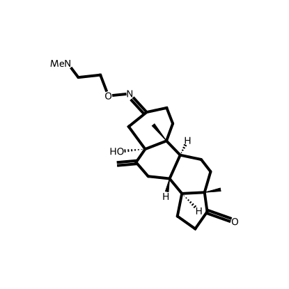 C=C1C[C@H]2[C@@H]3CCC(=O)[C@@]3(C)CC[C@@H]2[C@@]2(C)CC/C(=N/OCCNC)C[C@]12O